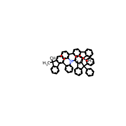 CC1(C)c2ccccc2-c2ccc(-c3ccccc3N(c3ccccc3-c3cccc4c3-c3ccccc3C4(C)C)c3cccc4c3-c3ccccc3C4(c3ccccc3)c3ccccc3)cc21